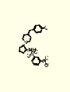 O=[N+]([O-])c1cccc(S(=O)(=O)N[C@@H]2CCC[C@H]2N2CCC(Cc3ccc(Cl)cc3)CC2)c1